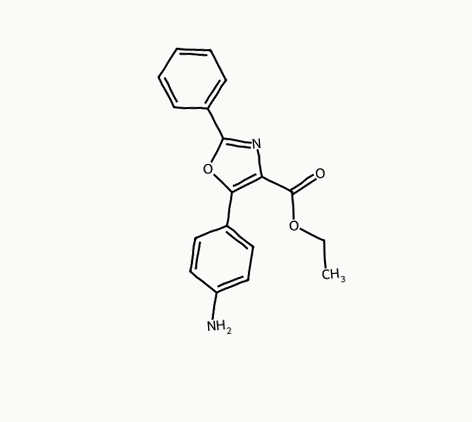 CCOC(=O)c1nc(-c2ccccc2)oc1-c1ccc(N)cc1